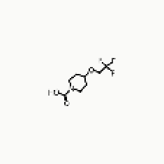 O=C(O)N1CCC(OCC(F)(F)F)CC1